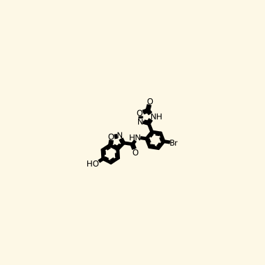 O=C(Nc1ccc(Br)cc1-c1noc(=O)[nH]1)c1noc2cc(O)ccc12